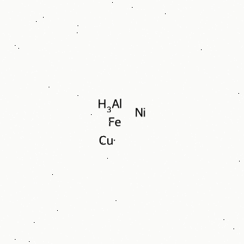 [AlH3].[Cu].[Fe].[Ni]